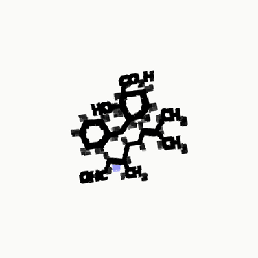 CC(C)=CCC/C(C)=C/C=O.O=C(O)c1cccc(Cc2ccccc2)c1O